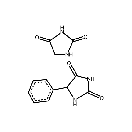 O=C1CNC(=O)N1.O=C1NC(=O)C(c2ccccc2)N1